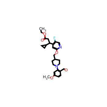 CCOC(=O)CC(c1cc(OCC2CCN(c3cc(OC)ccc3C=O)CC2)ncc1F)C1CC1